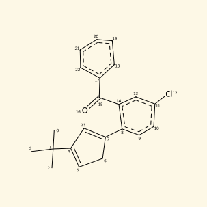 CC(C)(C)C1=CCC(c2ccc(Cl)cc2C(=O)c2ccccc2)=C1